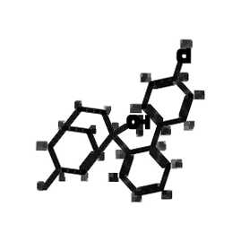 CC1C=C2CC(CCC2(O)c2ccccc2-c2ccc(Cl)cc2)C1